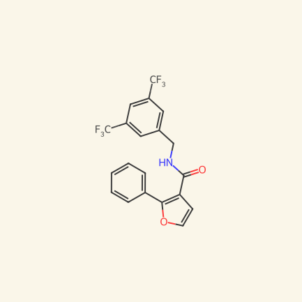 O=C(NCc1cc(C(F)(F)F)cc(C(F)(F)F)c1)c1ccoc1-c1ccccc1